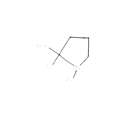 CC(=O)N1CCCC1(C(C)=O)C(=O)O